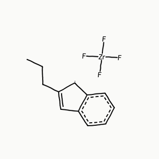 CCCC1=Cc2ccccc2[CH]1.[F][Zr]([F])([F])[F]